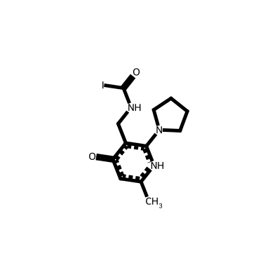 Cc1cc(=O)c(CNC(=O)I)c(N2CCCC2)[nH]1